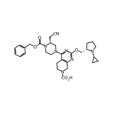 N#CC[C@H]1CN(c2nc(OC[C@@H]3CCCN3C3CC3)nc3c2CCN(C(=O)O)C3)CCN1C(=O)OCc1ccccc1